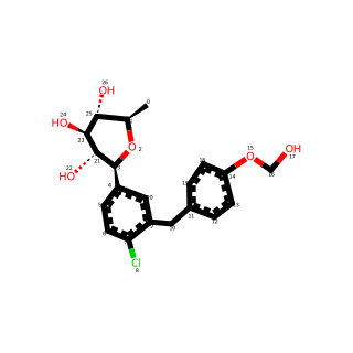 C[C@H]1O[C@@H](c2ccc(Cl)c(Cc3ccc(OCO)cc3)c2)[C@H](O)[C@@H](O)[C@@H]1O